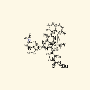 CC(C)[Si](C#Cc1c(F)ccc2cccc(-c3ncc4c(N(C)[C@@H]5CCN(C(=O)OC(C)(C)C)[C@@H]5C)nc(OCC56CCCN5C/C(=C/F)C6)nc4c3F)c12)(C(C)C)C(C)C